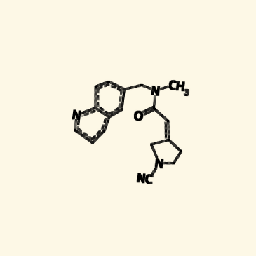 CN(Cc1ccc2ncccc2c1)C(=O)/C=C1/CCN(C#N)C1